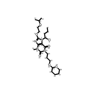 CCCC(Cl)n1c(OCCOC(C)C)nc2c1c(=O)n(CCCOC1CCCCO1)c(=O)n2C